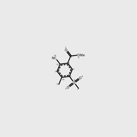 COC(=O)c1cc(S(C)(=O)=O)c(C)cc1C#N